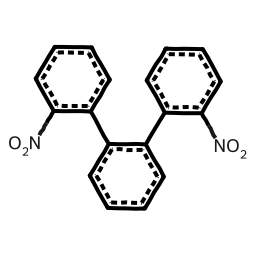 O=[N+]([O-])c1ccccc1-c1ccccc1-c1ccccc1[N+](=O)[O-]